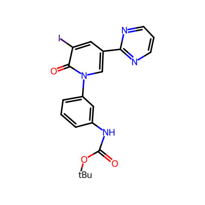 CC(C)(C)OC(=O)Nc1cccc(-n2cc(-c3ncccn3)cc(I)c2=O)c1